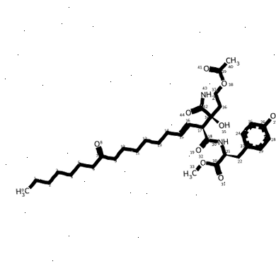 CCCCCCCC(=O)CCCCCC/C=C/[C@H](C(=O)N[C@@H](Cc1ccc(O)cc1)C(=O)OC)[C@@](O)(CCOC(C)=O)C(N)=O